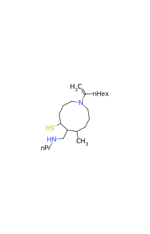 C=C(CCCCCC)N1CCCC(C)C(CNCCC)C(S)CCC1